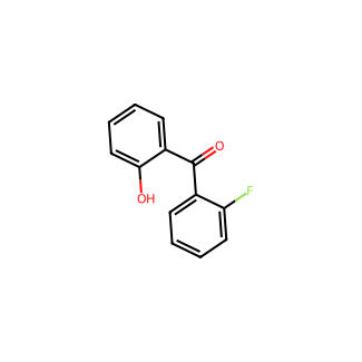 O=C(c1ccccc1O)c1ccccc1F